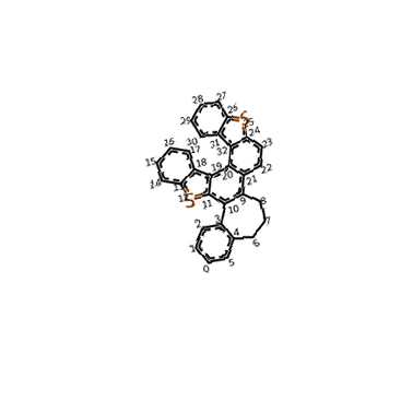 c1ccc2c(c1)CCCc1c-2c2sc3ccccc3c2c2c1ccc1sc3ccccc3c12